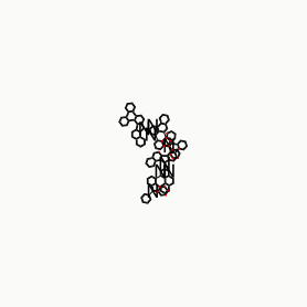 c1ccc(-n2c3ccccc3c3c(-c4nc(-n5c6ccc7c8ccccc8c8ccccc8c7c6c6ccc7ccccc7c65)nc5c4c(-c4ccc6c(c4)c4ccccc4c4ccc7c(c8ccc9ccccc9c8n7-c7nc(-c8cccc9c8c8ccccc8n9-c8ccccc8)c8c(ccc9ccccc98)n7)c46)cc4ccccc45)cccc32)cc1